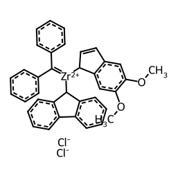 COc1cc2c(cc1OC)[CH]([Zr+2](=[C](c1ccccc1)c1ccccc1)[CH]1c3ccccc3-c3ccccc31)C=C2.[Cl-].[Cl-]